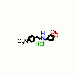 Cl.O=[N+]([O-])c1ccc(CCNCc2ccc3c(c2)OCO3)cc1